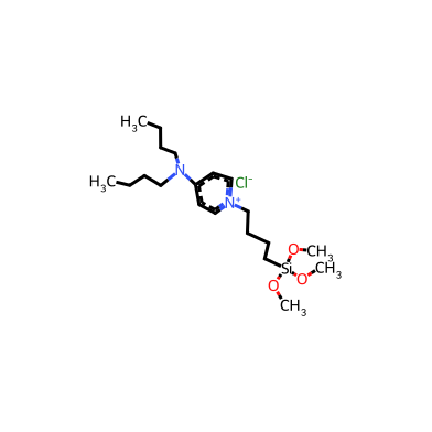 CCCCN(CCCC)c1cc[n+](CCCC[Si](OC)(OC)OC)cc1.[Cl-]